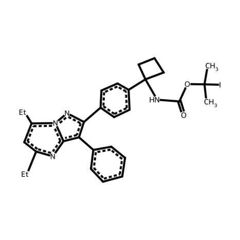 CCc1cc(CC)n2nc(-c3ccc(C4(NC(=O)OC(C)(C)I)CCC4)cc3)c(-c3ccccc3)c2n1